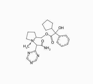 C[N@@+]1(C(C(N)=O)c2ncncn2)CCCC1COC(=O)C(O)(c1ccccc1)C1CCCC1